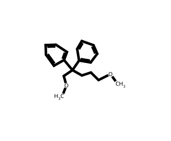 COCCCC(COC)(c1ccccc1)c1ccccc1